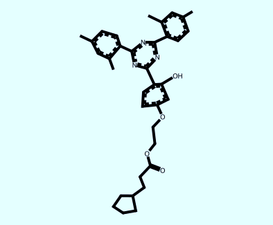 Cc1ccc(-c2nc(-c3ccc(C)cc3C)nc(-c3ccc(OCCOC(=O)CCC4CCCC4)cc3O)n2)c(C)c1